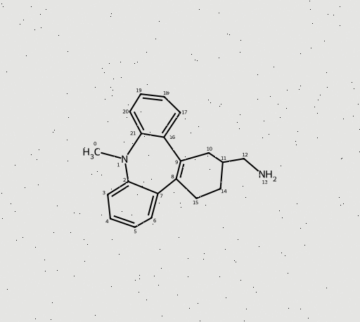 CN1c2ccccc2C2=C(CC(CN)CC2)c2ccccc21